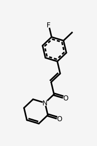 Cc1cc(C=CC(=O)N2CCC=CC2=O)ccc1F